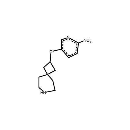 O=[N+]([O-])c1ccc(OC2CC3(CCNCC3)C2)cn1